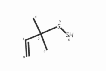 C=CC(C)(C)SS